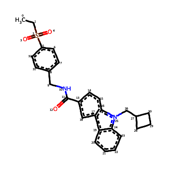 CCS(=O)(=O)c1ccc(CNC(=O)c2ccc3c(c2)c2ccccc2n3CC2CCC2)cc1